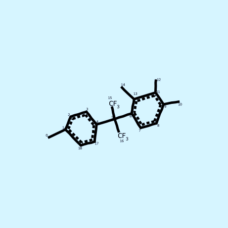 Cc1ccc(C(c2ccc(C)c(C)c2C)(C(F)(F)F)C(F)(F)F)cc1